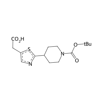 CC(C)(C)OC(=O)N1CCC(c2ncc(CC(=O)O)s2)CC1